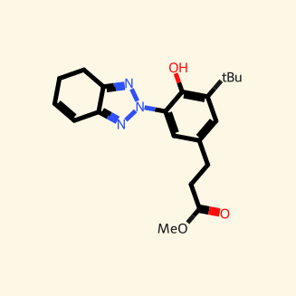 COC(=O)CCc1cc(-n2nc3c(n2)CCC=C3)c(O)c(C(C)(C)C)c1